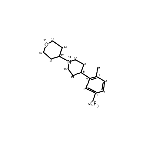 Cc1ccc(C(F)(F)F)cc1C1CCN(C2CCOCC2)CC1